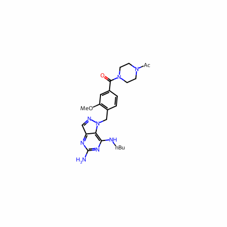 CCCCNc1nc(N)nc2cnn(Cc3ccc(C(=O)N4CCN(C(C)=O)CC4)cc3OC)c12